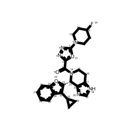 O=C(c1nnc(N2CCC(F)CC2)o1)N1CCc2[nH]cnc2[C@@H]1c1oc2ccccc2c1C1CC1